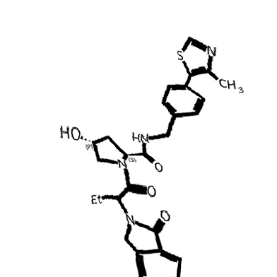 CCC(C(=O)N1C[C@H](O)C[C@H]1C(=O)NCc1ccc(-c2scnc2C)cc1)N1Cc2ccccc2C1=O